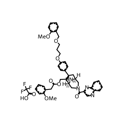 COc1ccccc1COCCCOc1ccc(C2=C(COC(=O)Cc3ccccc3OC)[C@H]3CN(C(=O)c4cnc5ccccc5n4)C[C@@H](C2)N3)cc1.O=C(O)C(F)(F)F